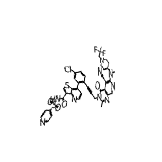 Cc1nc2cnc(N(C)C3CCN(CC(C)(F)F)CC3)c(C#N)c2c(=O)n1CC#Cc1ccc(Cl)cc1-c1ccnc2c(C(=O)NS(=O)(=O)c3ccncc3)csc12